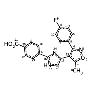 Cc1onc(-c2ccc(F)cc2)c1-c1c[nH]c(-c2ccc(C(=O)O)cc2)n1